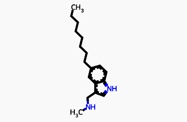 CCCCCCCCc1ccc2[nH]cc(CNC)c2c1